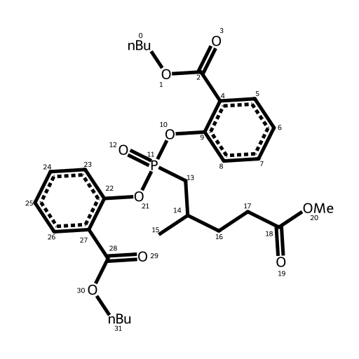 CCCCOC(=O)c1ccccc1OP(=O)(CC(C)CCC(=O)OC)Oc1ccccc1C(=O)OCCCC